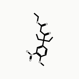 CCOC(=O)CC(=O)C(CC)(CC)c1ccc(OC)c([N+](=O)[O-])c1